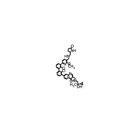 COc1nc(-c2cccc(-c3cccc(-c4ccn5c(=O)c(CNCC(C)(O)C6CC6)cnc5c4)c3Cl)c2Cl)ccc1CNCC1CCC(=O)N1